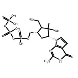 CC1(O)C(CO)[C@@H](COP(=O)(O)OP(=O)(O)OP(=O)(O)O)O[C@H]1n1ccc2c(=O)[nH]c(N)nc21